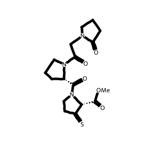 COC(=O)[C@@H]1C(=S)CCN1C(=O)[C@@H]1CCCN1C(=O)CN1CCCC1=O